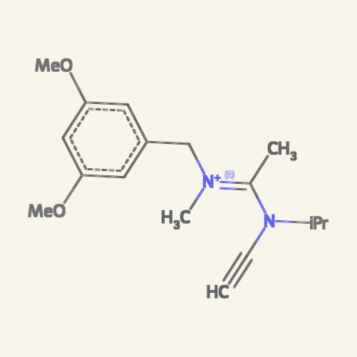 C#CN(/C(C)=[N+](\C)Cc1cc(OC)cc(OC)c1)C(C)C